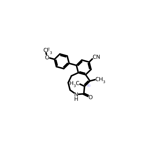 C/C1=C(/C)c2cc(C#N)cc(-c3ccc(OC(F)(F)F)cc3)c2CCCNC1=O